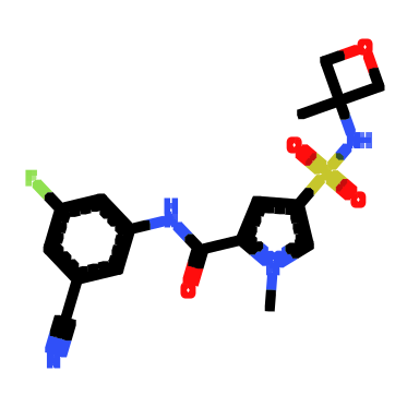 Cn1cc(S(=O)(=O)NC2(C)COC2)cc1C(=O)Nc1cc(F)cc(C#N)c1